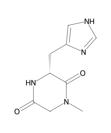 CN1CC(=O)N[C@H](Cc2c[nH]cn2)C1=O